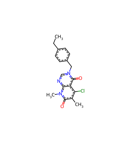 CCc1ccc(Cn2cnc3c(c(Cl)c(C)c(=O)n3C)c2=O)cc1